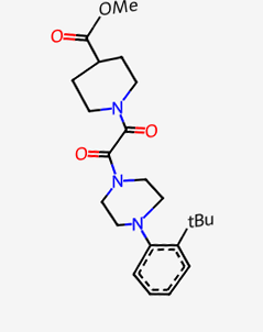 COC(=O)C1CCN(C(=O)C(=O)N2CCN(c3ccccc3C(C)(C)C)CC2)CC1